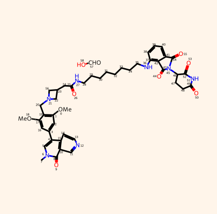 COc1cc(-c2cn(C)c(=O)c3cnccc23)cc(OC)c1CN1CC(CC(=O)NCCCCCCCCNc2cccc3c2C(=O)N(C2CCC(=O)NC2=O)C3=O)C1.O=CO